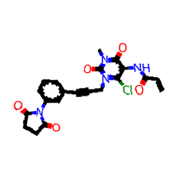 C=CC(=O)Nc1c(Cl)n(CC#Cc2cccc(N3C(=O)CCC3=O)c2)c(=O)n(C)c1=O